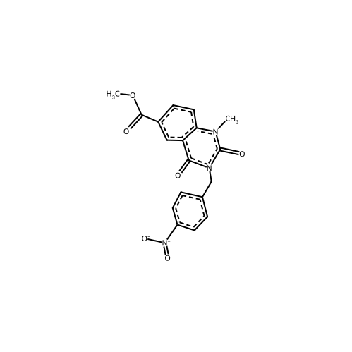 COC(=O)c1ccc2c(c1)c(=O)n(Cc1ccc([N+](=O)[O-])cc1)c(=O)n2C